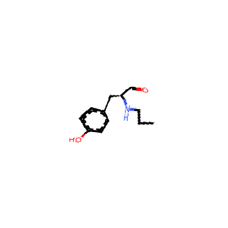 CCCN[C@H](C=O)Cc1ccc(O)cc1